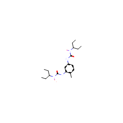 CCC(CC)N(O)C(=O)Nc1ccc(C)c(NC(=O)N(O)C(CC)CC)c1